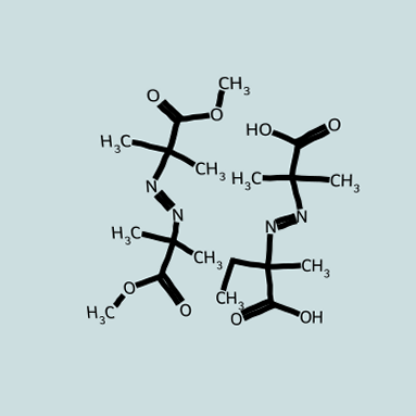 CCC(C)(N=NC(C)(C)C(=O)O)C(=O)O.COC(=O)C(C)(C)N=NC(C)(C)C(=O)OC